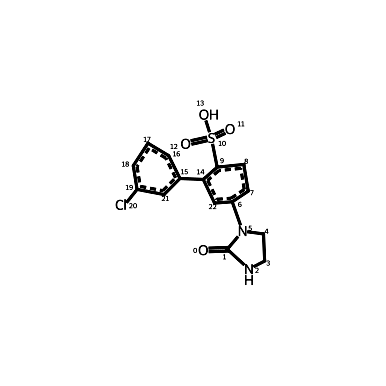 O=C1NCCN1c1ccc(S(=O)(=O)O)c(-c2cccc(Cl)c2)c1